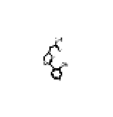 O=C(O)CC1CSC(c2ccccc2O)=N1